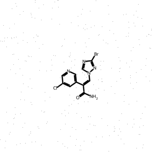 NC(=O)/C(=C/n1cnc(Br)n1)c1cncc(Cl)c1